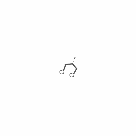 C[C@@H]([CH]Cl)CCl